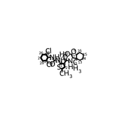 Cc1cc(C(=O)N[C@H](C(=O)O)C2(C)CCCCC2)c(NC(=O)Nc2c(Cl)cccc2Cl)s1